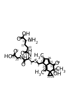 CC1=C(CSC[C@H](NC(=O)CC[C@@H](N)C(=O)O)C(=O)NCC(=O)O)C2=C(C)C3(CC3)[C@@](C)(O)C(=O)C2=C1